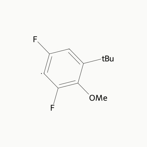 COc1c(F)[c]c(F)cc1C(C)(C)C